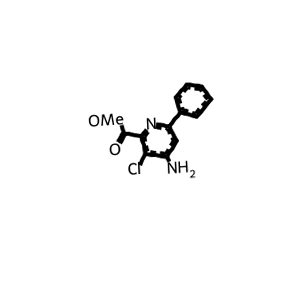 COC(=O)c1nc(-c2ccccc2)cc(N)c1Cl